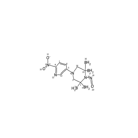 BC1(B)CN(c2ccc([N+](=O)[O-])nc2)CC(B)(B)N1N=O